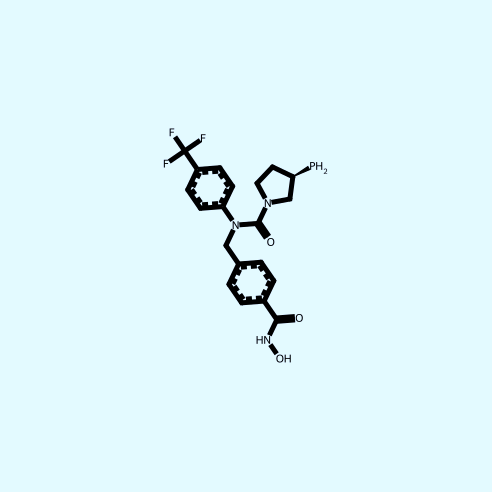 O=C(NO)c1ccc(CN(C(=O)N2CC[C@@H](P)C2)c2ccc(C(F)(F)F)cc2)cc1